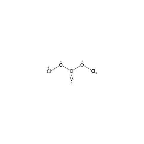 ClOOOCl.[V]